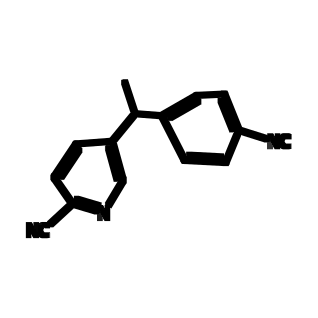 [C-]#[N+]c1ccc(C(C)c2ccc(C#N)nc2)cc1